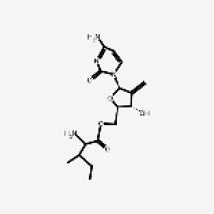 C=C1[C@H](n2ccc(N)nc2=O)O[C@H](COC(=O)C(N)C(C)CC)[C@H]1O